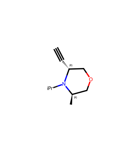 C#C[C@@H]1COC[C@@H](C)N1C(C)C